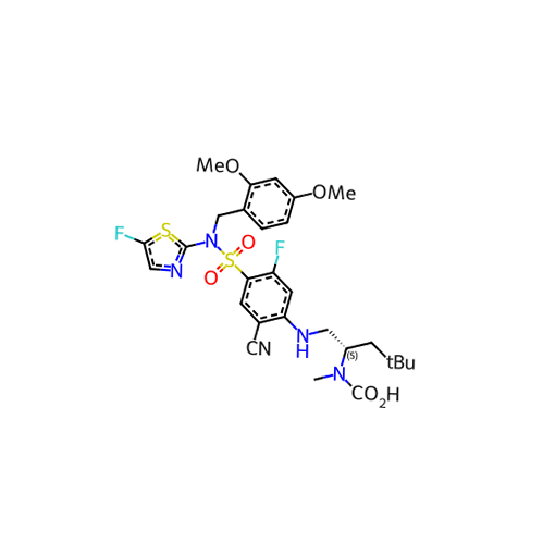 COc1ccc(CN(c2ncc(F)s2)S(=O)(=O)c2cc(C#N)c(NC[C@H](CC(C)(C)C)N(C)C(=O)O)cc2F)c(OC)c1